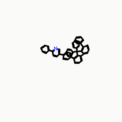 c1ccc(-c2ccc(-c3ccc(-c4cccc5c4C(c4ccccc4)(c4ccccc4)c4c(-c6ccccc6)cccc4-5)cc3)cn2)cc1